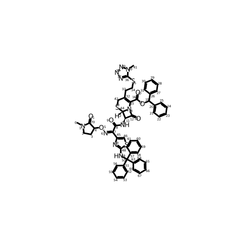 CN1CCC(O/N=C(\C(=O)N[C@@H]2C(=O)N3C(C(=O)OC(c4ccccc4)c4ccccc4)=C(CCSc4nnnn4C)CS[C@@H]23)c2csc(NC(c3ccccc3)(c3ccccc3)c3ccccc3)n2)C1=O